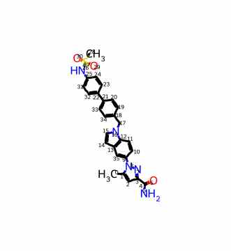 Cc1cc(C(N)=O)nn1-c1ccc2c(ccn2Cc2ccc(-c3ccc(NS(C)(=O)=O)cc3)cc2)c1